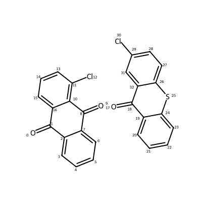 O=C1c2ccccc2C(=O)c2c(Cl)cccc21.O=c1c2ccccc2sc2ccc(Cl)cc12